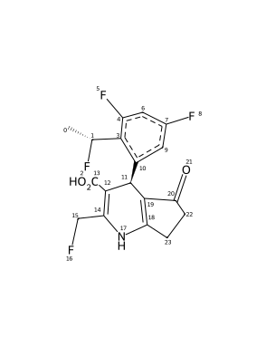 C[C@@H](F)c1c(F)cc(F)cc1[C@@H]1C(C(=O)O)=C(CF)NC2=C1C(=O)CC2